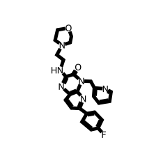 O=c1c(NCCN2CCOCC2)nc2ccc(-c3ccc(F)cc3)nc2n1Cc1ccccn1